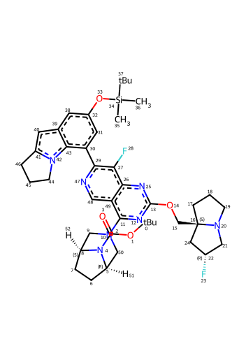 CC(C)(C)OC(=O)N1[C@@H]2CC[C@H]1CN(c1nc(OC[C@@]34CCCN3C[C@H](F)C4)nc3c(F)c(-c4cc(O[Si](C)(C)C(C)(C)C)cc5cc6n(c45)CCC6)ncc13)C2